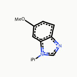 COc1ccc2n[c]n(C(C)C)c2c1